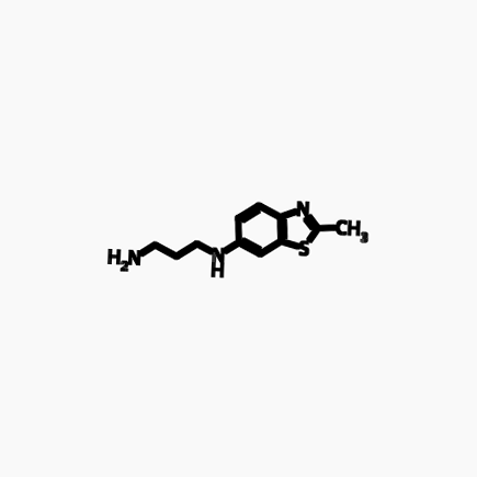 Cc1nc2ccc(NCCCN)cc2s1